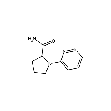 NC(=O)C1CCCN1c1cccnn1